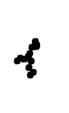 c1cc(-c2cccc(N(c3ccc(-c4ccc5c(c4)oc4ccccc45)cc3)c3ccc4c(ccc5ccccc54)c3)c2)cc(-c2cccc3ccccc23)c1